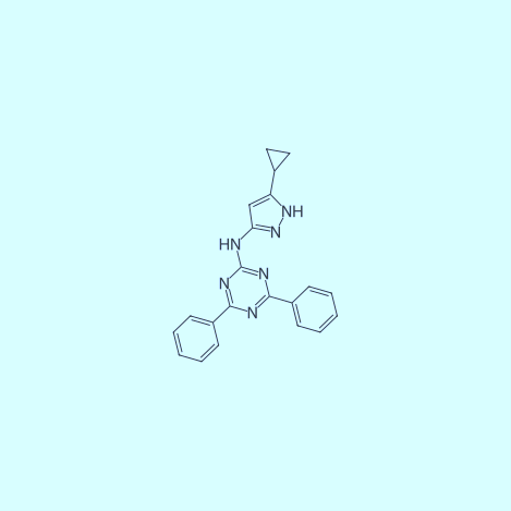 c1ccc(-c2nc(Nc3cc(C4CC4)[nH]n3)nc(-c3ccccc3)n2)cc1